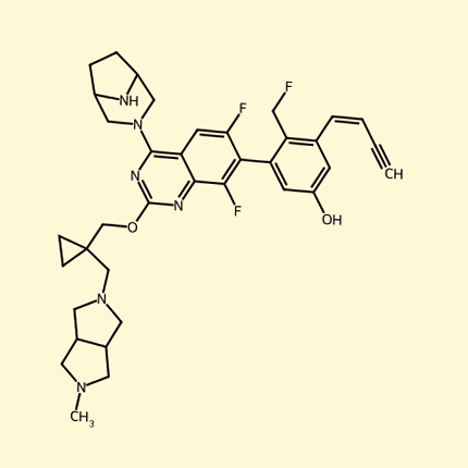 C#C/C=C\c1cc(O)cc(-c2c(F)cc3c(N4CC5CCC(C4)N5)nc(OCC4(CN5CC6CN(C)CC6C5)CC4)nc3c2F)c1CF